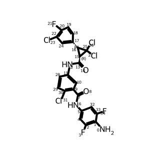 Nc1c(F)cc(NC(=O)c2cc(NC(=O)[C@H]3[C@H](c4ccc(F)c(Cl)c4)C3(Cl)Cl)ccc2Cl)cc1F